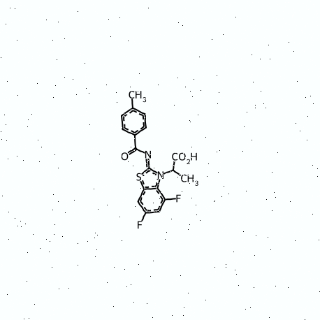 Cc1ccc(C(=O)/N=c2\sc3cc(F)cc(F)c3n2C(C)C(=O)O)cc1